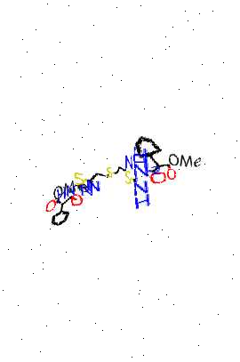 COC(=O)C(C(=O)NC(=N)SC(N)CCSCCc1nnc(NC(=O)C(C(=O)OC)c2ccccc2)s1)c1ccccc1